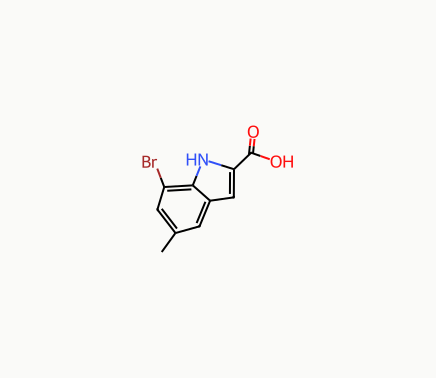 Cc1cc(Br)c2[nH]c(C(=O)O)cc2c1